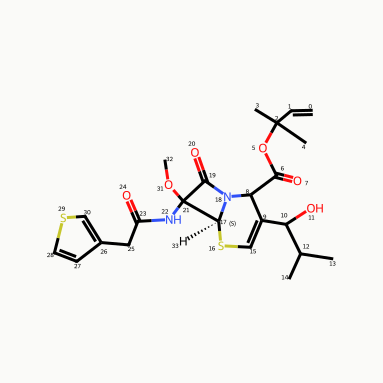 C=CC(C)(C)OC(=O)C1C(C(O)C(C)C)=CS[C@@H]2N1C(=O)C2(NC(=O)Cc1ccsc1)OC